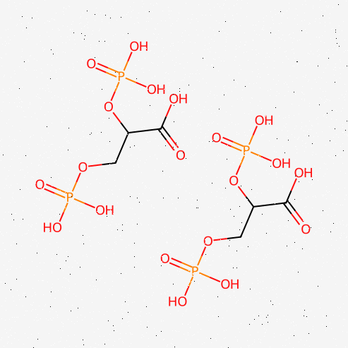 O=C(O)C(COP(=O)(O)O)OP(=O)(O)O.O=C(O)C(COP(=O)(O)O)OP(=O)(O)O